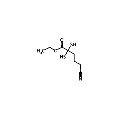 CCOC(=O)C(S)(S)CCCC#N